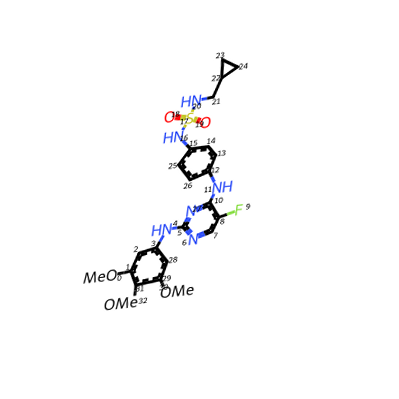 COc1cc(Nc2ncc(F)c(Nc3ccc(NS(=O)(=O)NCC4CC4)cc3)n2)cc(OC)c1OC